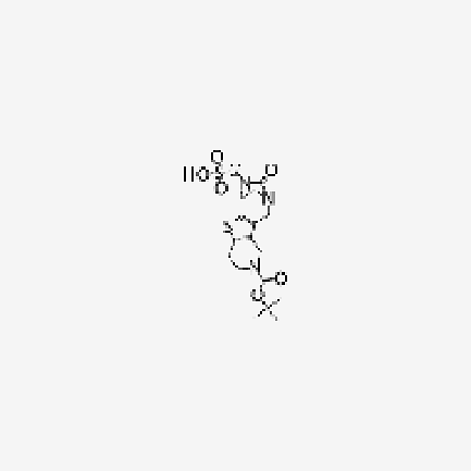 CC(C)(C)OC(=O)N1CCc2sc3c(c2C1)CN1CC3N(OS(=O)(=O)O)C1=O